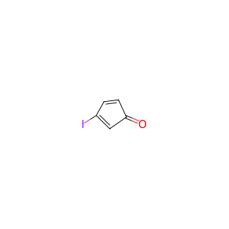 O=C1C=CC(I)=C1